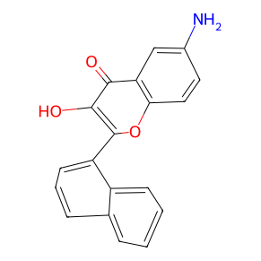 Nc1ccc2oc(-c3cccc4ccccc34)c(O)c(=O)c2c1